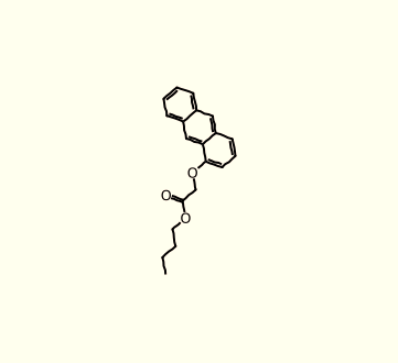 CCCCOC(=O)COc1cccc2cc3ccccc3cc12